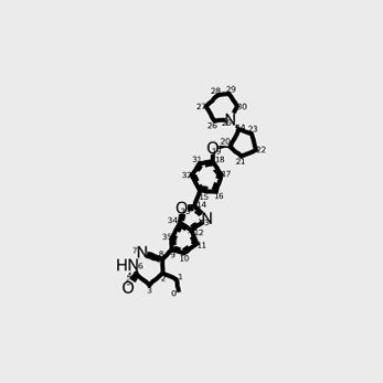 CCC1CC(=O)NN=C1c1ccc2nc(-c3ccc(O[C@@H]4CCC[C@H]4N4CCCCC4)cc3)oc2c1